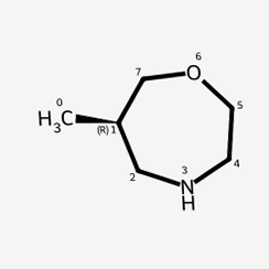 C[C@@H]1CNCCOC1